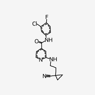 N#CC1(CCNc2cc(C(=O)Nc3ccc(F)c(Cl)c3)ccn2)CC1